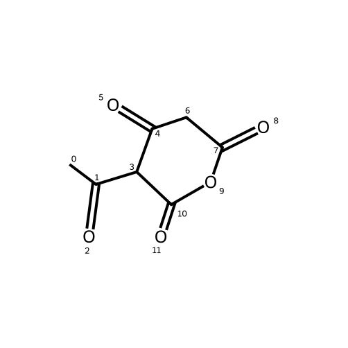 CC(=O)C1C(=O)CC(=O)OC1=O